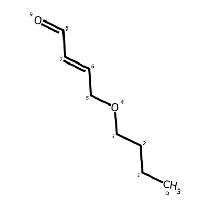 CCCCOCC=C[C]=O